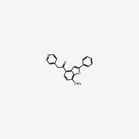 COc1ccc(C(=O)Cc2ccncc2)c2cc(-c3ccccc3)oc12